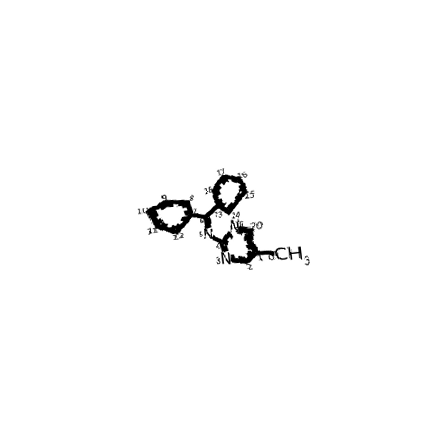 Cc1cnc(N=C(c2ccccc2)c2ccccc2)nc1